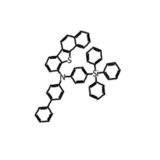 c1ccc(-c2ccc(N(c3ccc([Si](c4ccccc4)(c4ccccc4)c4ccccc4)cc3)c3cccc4c3sc3c5ccccc5ccc43)cc2)cc1